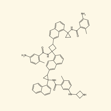 Cc1ccc(N)cc1C(=O)NC1(c2cccc3ccc(C4CC(NC(=O)c5cc(N)ccc5C)(c5cccc6cc(C7CC7(NC(=O)c7cc(NC8CNC8)ccc7C)c7cccc8ccccc78)ccc56)C4)cc23)CC1